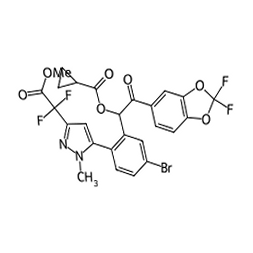 COC(=O)C(F)(F)c1cc(-c2ccc(Br)cc2C(OC(=O)C2CC2)C(=O)c2ccc3c(c2)OC(F)(F)O3)n(C)n1